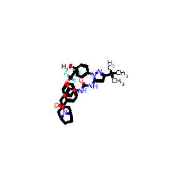 Cc1ccc(-n2nc(C(C)(C)C)cc2NC(=O)Nc2cccc(CC3CC4CCC(C3)N4C(=O)c3cccc(OC(F)(F)C(F)F)c3)c2)cc1